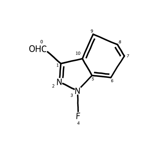 O=Cc1nn(F)c2ccccc12